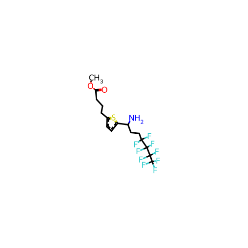 COC(=O)CCCc1ccc(C(N)CCC(F)(F)C(F)(F)C(F)(F)C(F)(F)F)s1